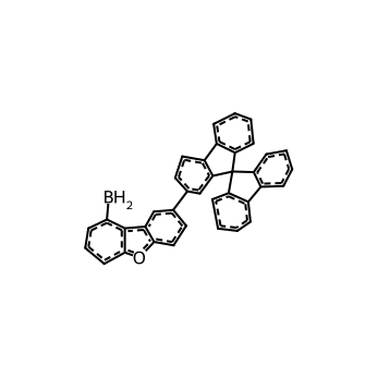 Bc1cccc2oc3ccc(-c4ccc5c(c4)C4(c6ccccc6-c6ccccc64)c4ccccc4-5)cc3c12